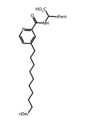 CCCCCCCCCCCCCCCCCCCc1ccnc(C(=O)NC(CCCCC)C(=O)O)c1